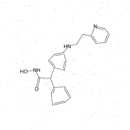 O=C(NO)C(c1ccccc1)c1ccc(NCCc2ccccn2)cc1